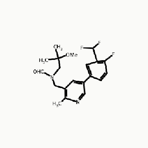 COC(C)(C)CN(C=O)Cc1cc(-c2ccc(F)c(C(F)F)c2)cnc1C